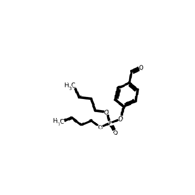 CCCCOP(=O)(OCCCC)Oc1ccc(C=O)cc1